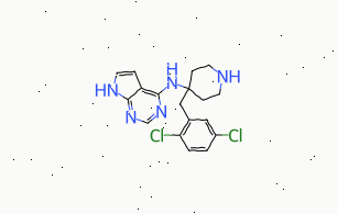 Clc1ccc(Cl)c(CC2(Nc3ncnc4[nH]ccc34)CCNCC2)c1